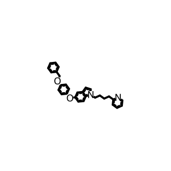 c1ccc(COc2ccc(Oc3ccc4c(ccn4CCCCc4ccccn4)c3)cc2)cc1